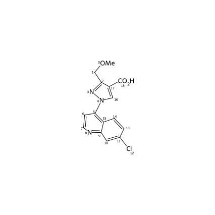 COCc1nn(-c2ccnc3cc(Cl)ccc23)cc1C(=O)O